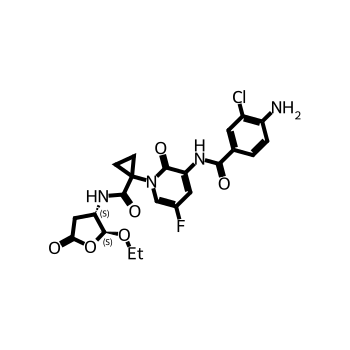 CCO[C@H]1OC(=O)C[C@@H]1NC(=O)C1(n2cc(F)cc(NC(=O)c3ccc(N)c(Cl)c3)c2=O)CC1